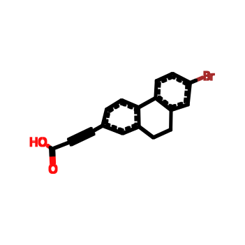 O=C(O)C#Cc1ccc2c(c1)CCc1cc(Br)ccc1-2